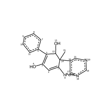 CCCCCC1=CC(O)=C(c2ccccc2)C(O)C1(C)c1cncnc1